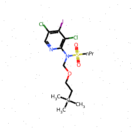 CCCS(=O)(=O)N(COCC[Si](C)(C)C)c1ncc(Cl)c(I)c1Cl